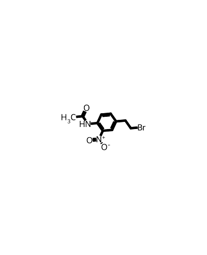 CC(=O)Nc1ccc(CCBr)cc1[N+](=O)[O-]